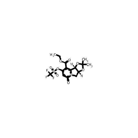 CCOC(=O)c1c(OS(=O)(=O)C(F)(F)F)cc(=O)n2c1[C@@H]1OC(C)(C)O[C@@H]1C2